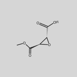 COC(=O)[C@@H]1O[C@H]1C(=O)O